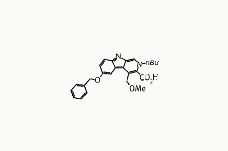 CCCCn1cc2nc3ccc(OCc4ccccc4)cc3c-2c(COC)c1C(=O)O